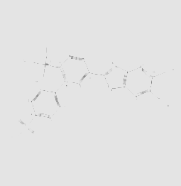 CS(=O)(=O)c1ccc(-c2cc(-c3nc4cc(F)c(F)cc4[nH]3)ccc2C(F)(F)F)cc1